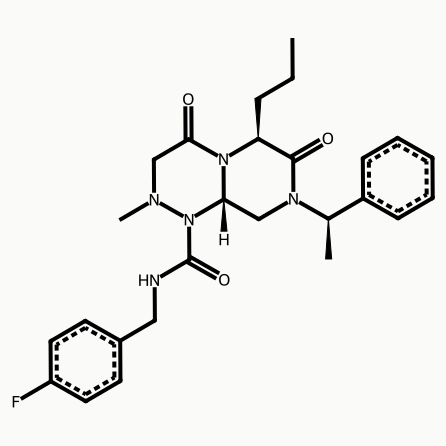 CCC[C@H]1C(=O)N([C@H](C)c2ccccc2)C[C@H]2N1C(=O)CN(C)N2C(=O)NCc1ccc(F)cc1